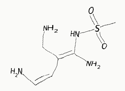 CS(=O)(=O)N/C(N)=C(/C=C\N)CN